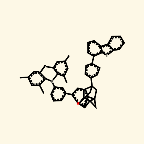 Cc1cc(C)c(B(c2cccc(-c3ccc(C45CC6(c7ccc(-c8cccc9c8sc8ccccc89)cc7)CC7CC4(C5)C7C6)cc3)c2)c2c(C)cc(C)cc2C)c(C)c1